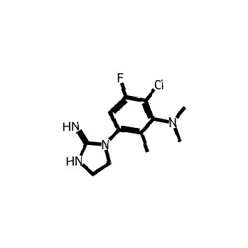 Cc1c(N2CCNC2=N)cc(F)c(Cl)c1N(C)C